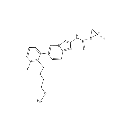 COCCOCc1c(F)cccc1-c1ccc2nc(NC(=O)[C@@H]3C[C@@H]3F)cn2c1